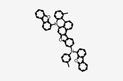 Cc1cccc(N(c2ccc3c(c2)oc2cc4c5c(cccc5c23)-c2c(C)cccc2N4c2cccc3c2oc2ccccc23)c2cccc3c2oc2ccccc23)c1